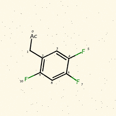 CC(=O)Cc1cc(F)c(F)cc1F